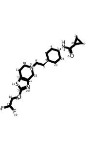 O=C(N[C@H]1CC[C@H](CCN2CCc3sc(OCC(F)F)nc3C2)CC1)C1CC1